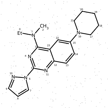 CCN(C)c1nc(-n2cccn2)nc2ccc(N3CCCCC3)cc12